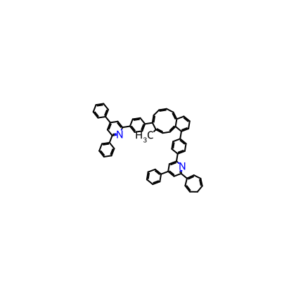 Cc1ccc2c(-c3ccc(-c4cc(-c5ccccc5)cc(C5=CC=CCC=C5)n4)cc3)cccc2ccccc1-c1ccc(-c2cc(-c3ccccc3)cc(-c3ccccc3)n2)cc1